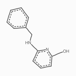 Oc1cccc(NCc2ccccc2)n1